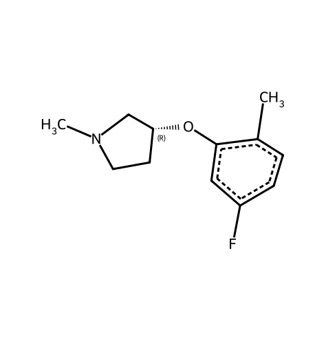 Cc1ccc(F)cc1O[C@@H]1CCN(C)C1